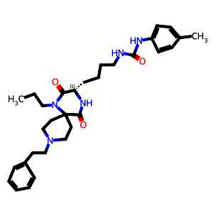 CCCN1C(=O)[C@H](CCCCNC(=O)Nc2ccc(C)cc2)NC(=O)C12CCN(CCc1ccccc1)CC2